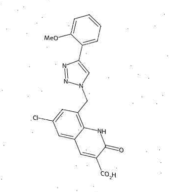 COc1ccccc1-c1cn(Cc2cc(Cl)cc3cc(C(=O)O)c(=O)[nH]c23)nn1